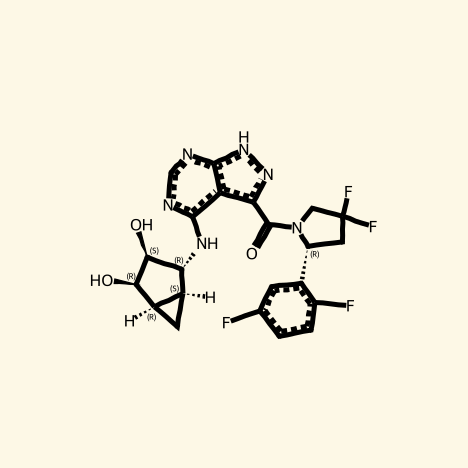 O=C(c1n[nH]c2ncnc(N[C@H]3[C@H](O)[C@H](O)[C@@H]4C[C@@H]43)c12)N1CC(F)(F)C[C@@H]1c1cc(F)ccc1F